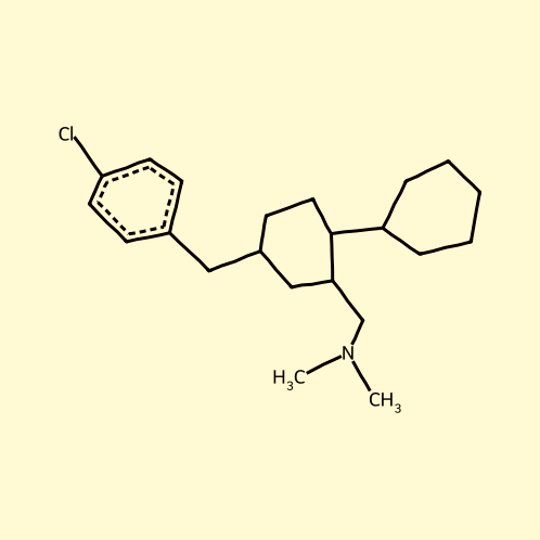 CN(C)CC1CC(Cc2ccc(Cl)cc2)CCC1C1CCCCC1